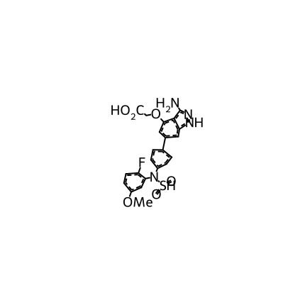 COc1ccc(F)c(N(c2ccc(-c3cc(OCC(=O)O)c4c(N)n[nH]c4c3)cc2)[SH](=O)=O)c1